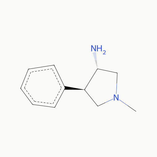 CN1C[C@@H](N)[C@H](c2ccccc2)C1